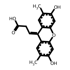 Cc1cc2c(cc1O)Oc1cc(O)c(C)cc1C2=CCC(=O)O